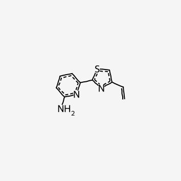 C=Cc1csc(-c2cccc(N)n2)n1